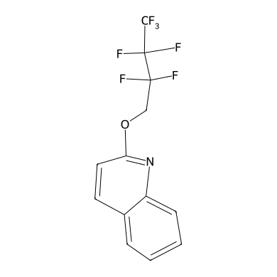 FC(F)(F)C(F)(F)C(F)(F)COc1ccc2ccccc2n1